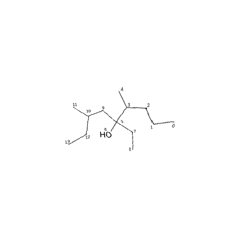 CCCC(C)C(O)(CC)CC(C)CC